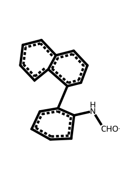 O=[C]Nc1ccccc1-c1cccc2ccccc12